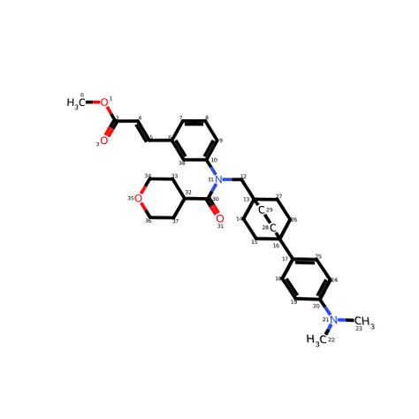 COC(=O)/C=C/c1cccc(N(CC23CCC(c4ccc(N(C)C)cc4)(CC2)CC3)C(=O)C2CCOCC2)c1